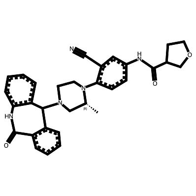 C[C@@H]1CN(C2c3ccccc3NC(=O)c3ccccc32)CCN1c1ccc(NC(=O)C2CCOC2)cc1C#N